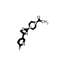 CC(=O)N1CCN(c2nc(-c3ccc(F)nc3)cs2)CC1